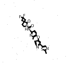 Cc1ncc(-c2cc(Oc3ccc(NC(=O)N4CCC5(CC(F)(F)C5)C4=O)nc3C)ccn2)s1